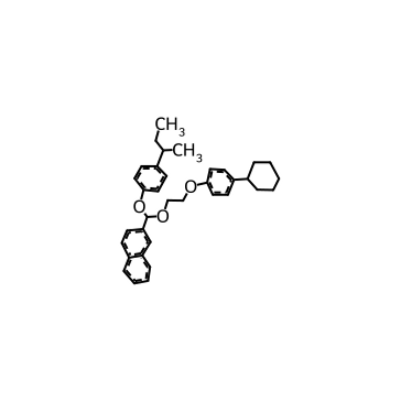 CCC(C)c1ccc(OC(OCCOc2ccc(C3CCCCC3)cc2)c2ccc3ccccc3c2)cc1